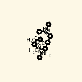 C=C(/N=C(\N=C(/N)c1ccccc1)c1cccc(C2=CC=C(c3cccc(-c4nc(-c5ccccc5)nc(C5C=CC=CC5)n4)c3)CC2C)c1)c1cccc2c1Sc1ccccc1C2(C)C